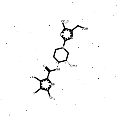 CCOC(=O)c1sc(N2CC[C@@H](NC(=O)c3[nH]c(C)c(Cl)c3Cl)[C@@H](OC)C2)nc1CO